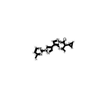 CC1=Nc2c(-c3cnn(-c4nccc(C)n4)c3)cnn2C(=O)C1C1CC1